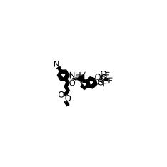 CCOC(=O)CCCc1ccc(C#N)cc1NC(=O)[C@@H]1[C@H](C)[C@]12CCc1ccc(OS(=O)(=O)C(F)(F)F)cc12